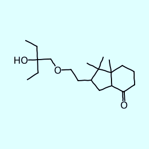 CCC(O)(CC)COCCC1CC2C(=O)CCCC2(C)C1(C)C